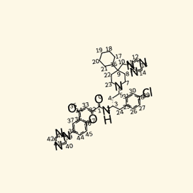 O=C(N[C@H](CCN1CCC(Cn2cncn2)(C2CCCCC2)CC1)Cc1ccc(Cl)cc1)c1cc(=O)c2cc(-n3cncn3)ccc2o1